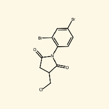 O=C1CC(CCl)C(=O)N1c1ccc(Br)cc1Br